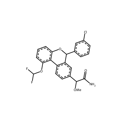 COC(C(N)=O)c1ccc2c(c1)C(c1cccc(Cl)c1)Oc1cccc(OC(F)F)c1-2